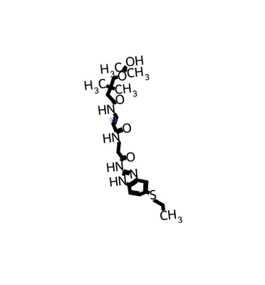 CCCSc1ccc2[nH]c(NC(=O)CCNC(=O)/C=C/NC(=O)CC(C)(C)COC(C)(C)O)nc2c1